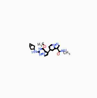 CNC(=O)c1cnn2ccc(-c3ccn4nc(NC5CC6CC6C5)nc(OC)c34)cc12